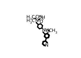 COc1ccc(-c2cccnc2)cc1CNC1CCC(CN(C(=O)O)C(C)(C)C)CC1